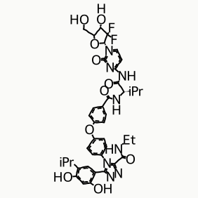 CCNC(=O)c1nnc(-c2cc(C(C)C)c(O)cc2O)n1-c1ccc(Oc2ccc(C(=O)N[C@H](C(=O)Nc3ccn([C@@H]4OC(CO)[C@@H](O)C4(F)F)c(=O)n3)C(C)C)cc2)cc1